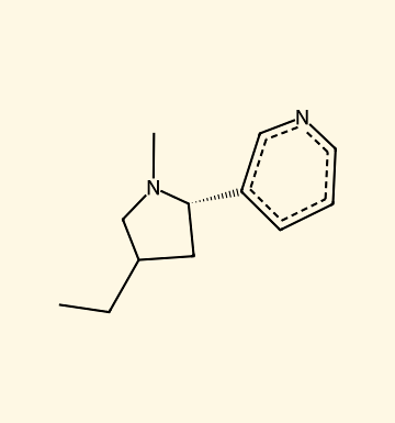 CCC1C[C@@H](c2cccnc2)N(C)C1